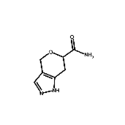 NC(=O)C1Cc2[nH]ncc2CO1